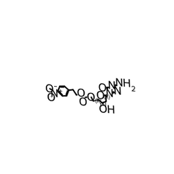 Nc1ncn([C@H]2C[C@H](O)[C@@H](COC(=O)OCCc3ccc([N+](=O)[O-])cc3)O2)c(=O)n1